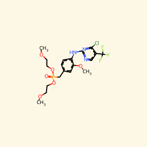 COCCOP(=O)(Cc1ccc(Nc2ncc(C(F)(F)F)c(Cl)n2)c(OC)c1)OCCOC